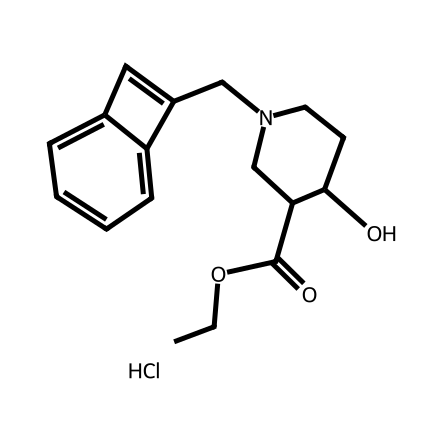 CCOC(=O)C1CN(CC2=Cc3ccccc32)CCC1O.Cl